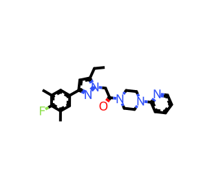 CCc1cc(-c2cc(C)c(F)c(C)c2)nn1CC(=O)N1CCN(c2ccccn2)CC1